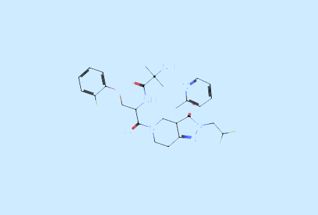 CC(C)(N)C(=O)NC(COc1ccccc1F)C(=O)N1CCC2=NN(CC(F)F)C(=O)[C@]2(Cc2ccccn2)C1